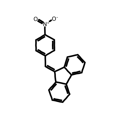 O=[N+]([O-])c1ccc(C=C2c3ccccc3-c3ccccc32)cc1